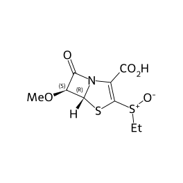 CC[S+]([O-])C1=C(C(=O)O)N2C(=O)[C@H](OC)[C@H]2S1